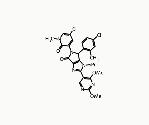 COc1ncc(-c2nc3c(n2C(C)C)C(c2ccc(Cl)cc2C)N(c2cc(Cl)cn(C)c2=O)C3=O)c(OC)n1